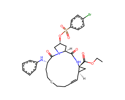 CCOC(=O)[C@@]12C[C@H]1/C=C\CCCCC[C@H](Nc1ccccc1)C(=O)N1C[C@@H](OS(=O)(=O)c3ccc(Br)cc3)C[C@H]1C(=O)N2